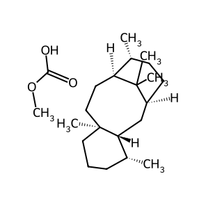 COC(=O)O.C[C@@H]1CCC[C@@]2(C)CC[C@H]3[C@H](C)CC[C@@H](C[C@H]12)C3(C)C